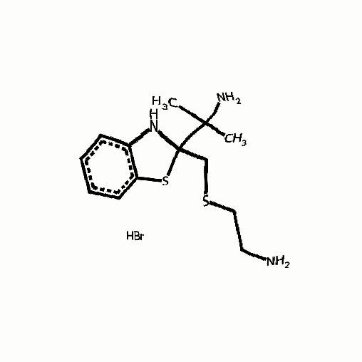 Br.CC(C)(N)C1(CSCCN)Nc2ccccc2S1